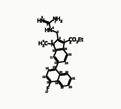 CCOC(=O)c1c(CNC(=N)N)n(C)c2cc(-c3ccc(F)c4ccccc34)ccc12